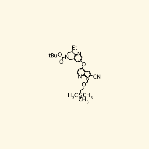 CC[C@H]1CN(C(=O)OC(C)(C)C)Cc2cc(Oc3ccnc4c3cc(C#N)n4COCCS(C)(C)C)cnc21